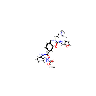 CN(C)CCCN(Cc1ccc(C(=O)Nc2ccccc2NC(=O)OC(C)(C)C)cc1)C(=O)NCc1ccco1